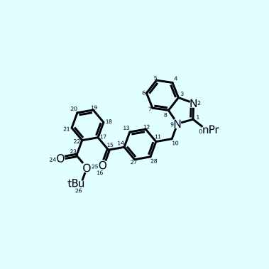 CCCc1nc2ccccc2n1Cc1ccc(C(=O)c2ccccc2C(=O)OC(C)(C)C)cc1